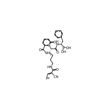 CC(C)C=C(C#N)C(=O)NCCCC[C@@H](C(=O)N[C@@H](Cc1ccccc1)B(O)O)n1c(C(N)=O)cccc1=O